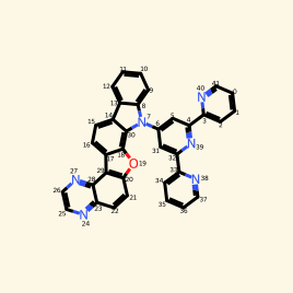 c1ccc(-c2cc(-n3c4ccccc4c4ccc5c(oc6ccc7nccnc7c65)c43)cc(-c3ccccn3)n2)nc1